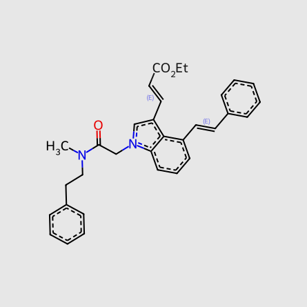 CCOC(=O)/C=C/c1cn(CC(=O)N(C)CCc2ccccc2)c2cccc(/C=C/c3ccccc3)c12